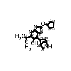 Cc1c(C(C)C)nc2nc(OC3CCCC3)nn2c1C1CC2CC1CN2